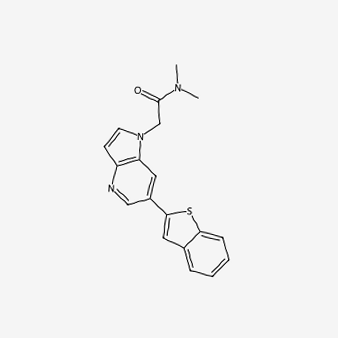 CN(C)C(=O)Cn1ccc2ncc(-c3cc4ccccc4s3)cc21